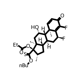 CCCCOC(=S)[C@@]1(OC(=O)CC)[C@@H](C)C[C@H]2[C@@H]3C[C@H](F)C4=C(F)C(=O)C=C[C@]4(C)[C@H]3[C@@H](O)C[C@@]21C